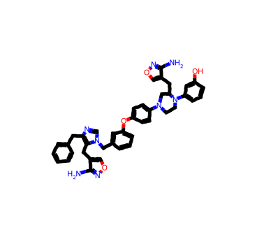 Nc1nocc1Cc1c(Cc2ccccc2)ncn1Cc1cccc(Oc2ccc(N3CCN(c4cccc(O)c4)C(Cc4conc4N)C3)cc2)c1